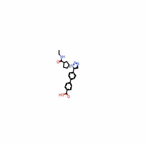 CCNC(=O)C1CC[C@@H](n2nncc2-c2ccc(-c3ccc(C(=O)O)cc3)cc2)C1